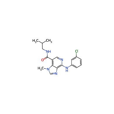 CC(C)CNC(=O)c1cnc(Nc2cccc(Cl)c2)c2ncn(C)c12